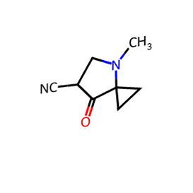 CN1CC(C#N)C(=O)C12CC2